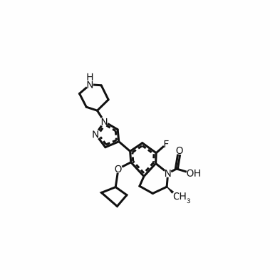 C[C@H]1CCc2c(OC3CCC3)c(-c3cnn(C4CCNCC4)c3)cc(F)c2N1C(=O)O